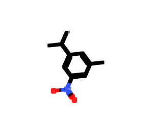 [CH2]C(C)c1cc(C)cc([N+](=O)[O-])c1